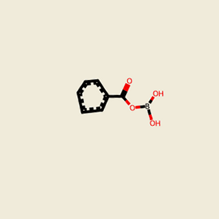 O=C(OB(O)O)c1ccccc1